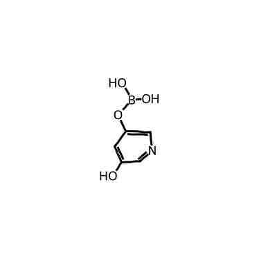 OB(O)Oc1cncc(O)c1